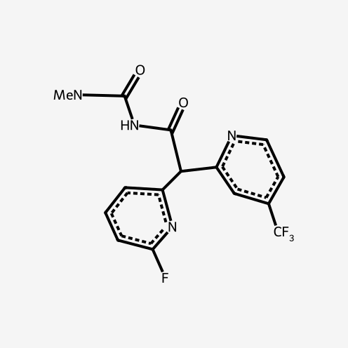 CNC(=O)NC(=O)C(c1cc(C(F)(F)F)ccn1)c1cccc(F)n1